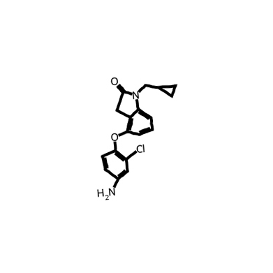 Nc1ccc(Oc2cccc3c2CC(=O)N3CC2CC2)c(Cl)c1